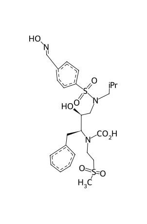 CC(C)CN(C[C@H](O)[C@H](Cc1ccccc1)N(CCS(C)(=O)=O)C(=O)O)S(=O)(=O)c1ccc(C=NO)cc1